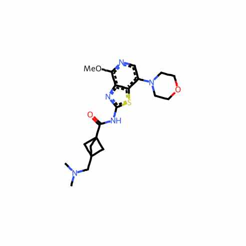 COc1ncc(N2CCOCC2)c2sc(NC(=O)C34CC(CN(C)C)(C3)C4)nc12